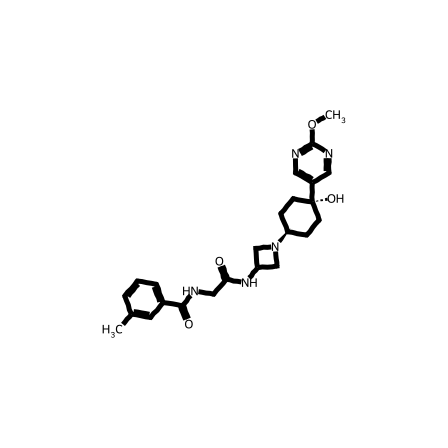 COc1ncc([C@]2(O)CC[C@H](N3CC(NC(=O)CNC(=O)c4cccc(C)c4)C3)CC2)cn1